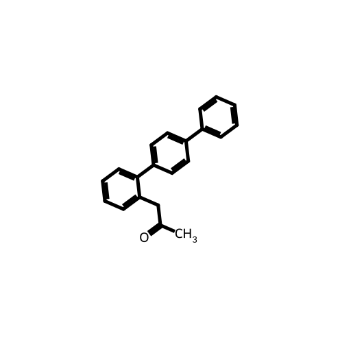 CC(=O)Cc1ccccc1-c1ccc(-c2ccccc2)cc1